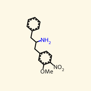 COc1cc(CC(N)Cc2ccccc2)ccc1[N+](=O)[O-]